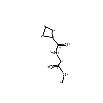 COC(=O)CNC(=O)C1CCC1